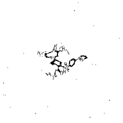 CC(=O)c1ccc(N2CC(C)NC(C)C2)cc1NS(=O)(=O)c1ccc(-n2cccn2)cc1